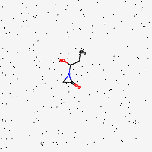 CCC(O)N1CC1=O